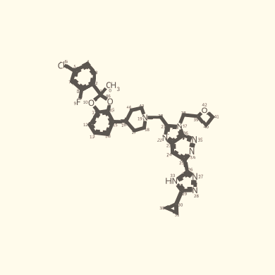 CC1(c2ccc(Cl)cc2F)Oc2cccc(C3CCN(Cc4nc5cc(-c6nnc(C7CC7)[nH]6)nnc5n4CC4CCO4)CC3)c2O1